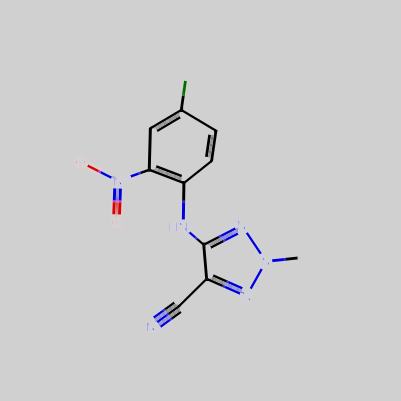 Cn1nc(C#N)c(Nc2ccc(F)cc2[N+](=O)[O-])n1